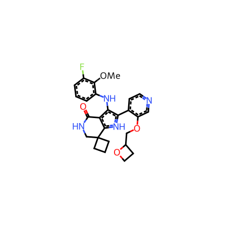 COc1c(F)cccc1Nc1c(-c2ccncc2OCC2CCO2)[nH]c2c1C(=O)NCC21CCC1